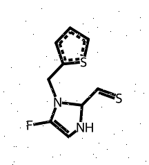 FC1=CNC(C=S)N1Cc1cccs1